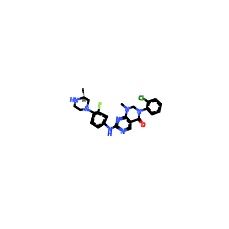 C[C@@H]1CN(c2ccc(Nc3ncc4c(n3)N(C)CN(c3ccccc3Cl)C4=O)cc2F)CCN1